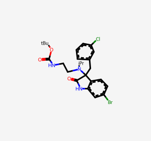 CC(C)N(CCNC(=O)OC(C)(C)C)C1(Cc2cccc(Cl)c2)C(=O)Nc2cc(Br)ccc21